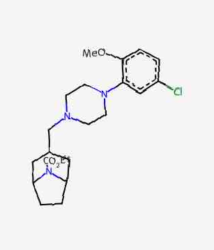 CCOC(=O)N1C2CCC1CC(CN1CCN(c3cc(Cl)ccc3OC)CC1)C2